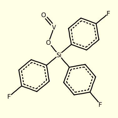 [O]=[V][O][Si](c1ccc(F)cc1)(c1ccc(F)cc1)c1ccc(F)cc1